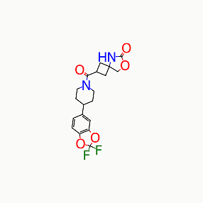 O=C1NC2(CO1)CC(C(=O)N1CCC(c3ccc4c(c3)OC(F)(F)O4)CC1)C2